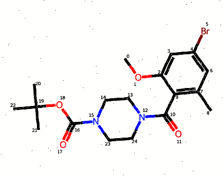 COc1cc(Br)cc(C)c1C(=O)N1CCN(C(=O)OC(C)(C)C)CC1